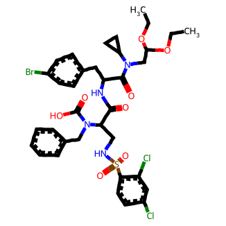 CCOC(CN(C(=O)C(Cc1ccc(Br)cc1)NC(=O)C(CNS(=O)(=O)c1ccc(Cl)cc1Cl)N(Cc1ccccc1)C(=O)O)C1CC1)OCC